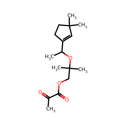 CC(=O)C(=O)OCC(C)(C)OC(C)C1=CC(C)(C)CC1